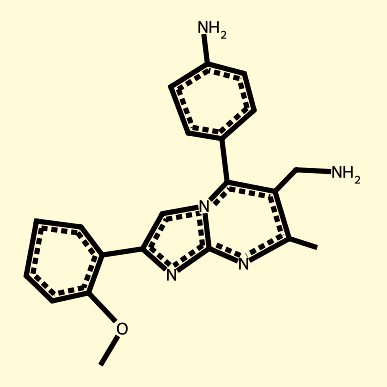 COc1ccccc1-c1cn2c(-c3ccc(N)cc3)c(CN)c(C)nc2n1